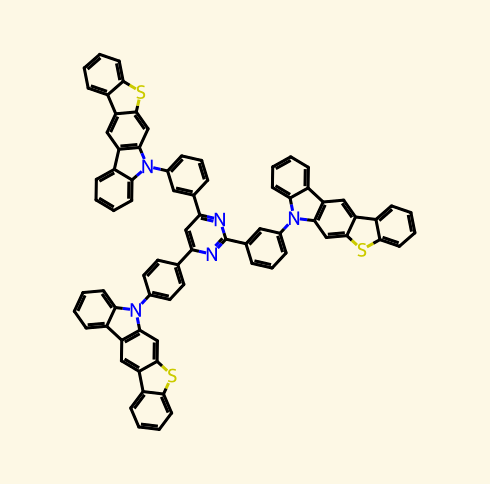 c1cc(-c2cc(-c3ccc(-n4c5ccccc5c5cc6c(cc54)sc4ccccc46)cc3)nc(-c3cccc(-n4c5ccccc5c5cc6c(cc54)sc4ccccc46)c3)n2)cc(-n2c3ccccc3c3cc4c(cc32)sc2ccccc24)c1